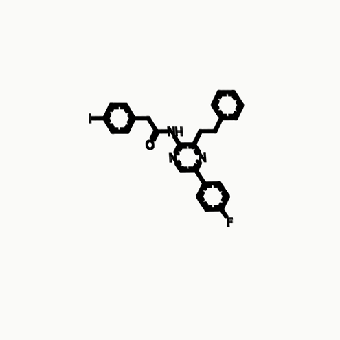 O=C(Cc1ccc(I)cc1)Nc1ncc(-c2ccc(F)cc2)nc1CCc1ccccc1